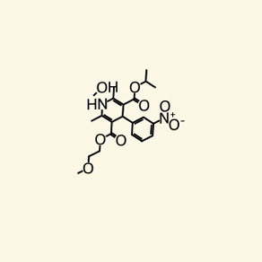 CO.COCCOC(=O)C1=C(C)NC(C)=C(C(=O)OC(C)C)C1c1cccc([N+](=O)[O-])c1